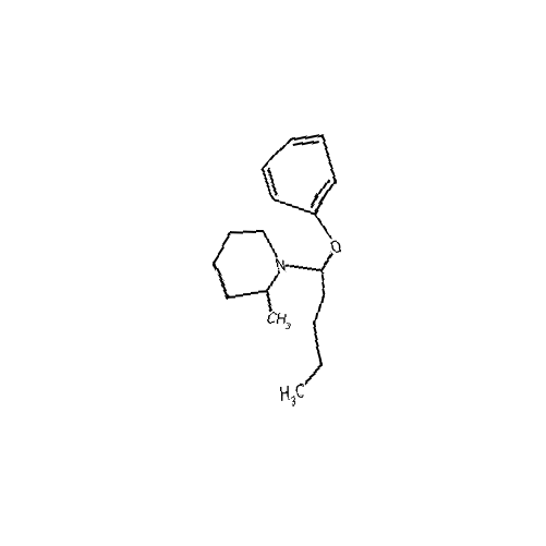 CCCCC(Oc1ccccc1)N1CCCCC1C